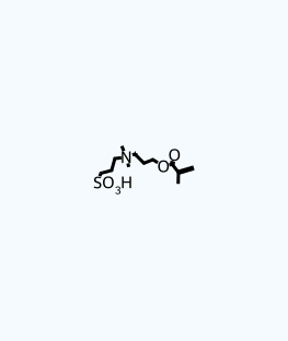 C=C(C)C(=O)OCCC[N+](C)(C)CCCS(=O)(=O)O